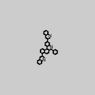 c1ccc(-c2nc3cc(-c4cnc5ccccc5c4)ccc3c3c2ccc2c(-c4cnc5ccccc5c4)cccc23)cc1